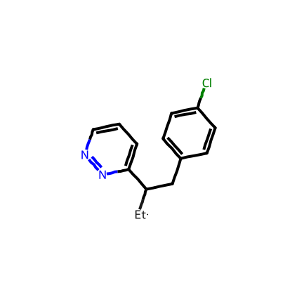 C[CH]C(Cc1ccc(Cl)cc1)c1cccnn1